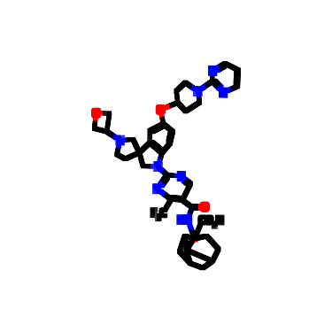 O=C(NC1(C(=O)O)C2CCC3CC(C2)CC1C3)c1cnc(N2CC3(CCN(C4COC4)C3)c3cc(OC4CCN(c5ncccn5)CC4)ccc32)nc1C(F)(F)F